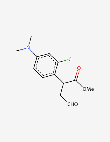 COC(=O)C(CC=O)c1ccc(N(C)C)cc1Cl